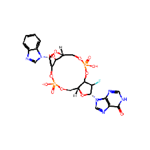 O=c1[nH]cnc2c1ncn2[C@@H]1O[C@@H]2COP(=O)(O)OC3C(O)[C@@H](COP(=O)(O)OC2C1F)O[C@H]3n1cnc2ccccc21